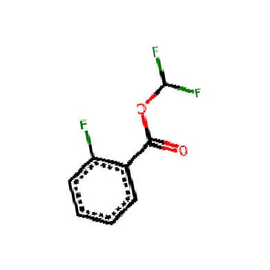 O=C(OC(F)F)c1ccccc1F